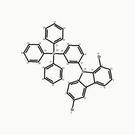 Brc1ccc2c(c1)c1cccc(Br)c1n2-c1cccc([Si](c2ccccc2)(c2ccccc2)c2ccccc2)c1